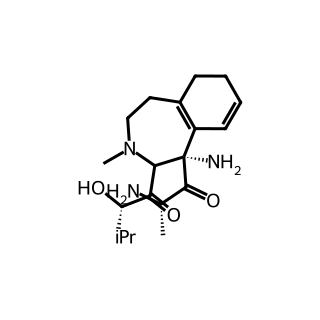 CC(C)[C@H](O)C(=O)C1N(C)CCC2=C(C=CCC2)[C@@]1(N)C(=O)[C@H](C)N